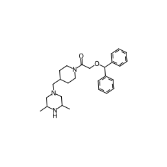 CC1CN(CC2CCN(C(=O)COC(c3ccccc3)c3ccccc3)CC2)CC(C)N1